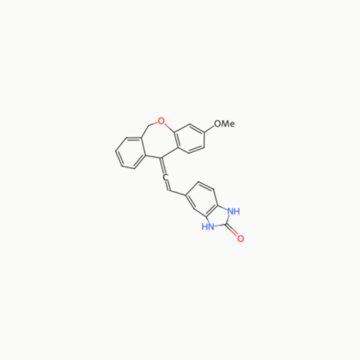 COc1ccc2c(c1)OCc1ccccc1C2=C=Cc1ccc2[nH]c(=O)[nH]c2c1